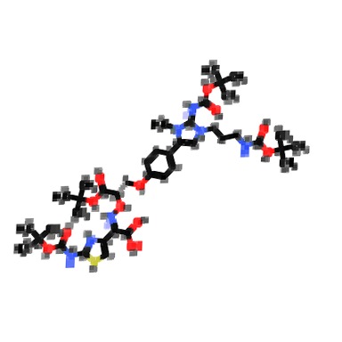 Cn1c(-c2ccc(OC[C@H](O/N=C(\C(=O)O)c3csc(NC(=O)OC(C)(C)C)n3)C(=O)OC(C)(C)C)cc2)cn(CCCNC(=O)OC(C)(C)C)/c1=N\C(=O)OC(C)(C)C